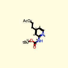 CC(=O)OCCc1ccnc(NC(=O)OC(C)(C)C)c1